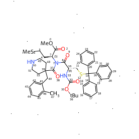 COC(=O)[C@H](CCSC)N(C(=O)[C@H](CSC(c1ccccc1)(c1ccccc1)c1ccccc1)NC(=O)OC(C)(C)C)C(=O)C1(Cc2ccccc2C)CCNCC1